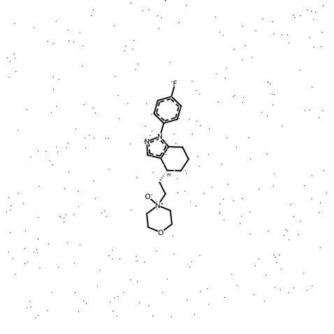 [O-][N+]1(CC[C@H]2CCCc3c2cnn3-c2ccc(F)cc2)CCOCC1